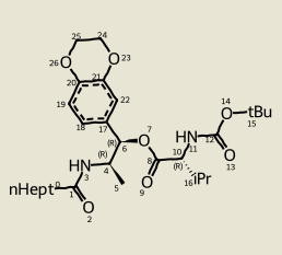 CCCCCCCC(=O)N[C@H](C)[C@H](OC(=O)[C@H](NC(=O)OC(C)(C)C)C(C)C)c1ccc2c(c1)OCCO2